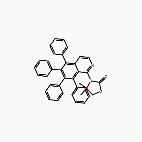 CC1(C)COC(=O)N1c1nccc2c(-c3ccccc3)c(-c3ccccc3)c(-c3ccccc3)c(-c3ccccc3)c12